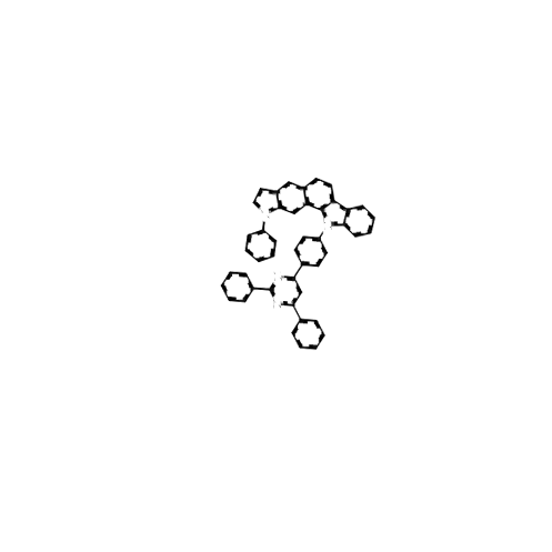 c1ccc(-c2cc(-c3ccc(-n4c5ccccc5c5ccc6cc7ccn(-c8ccccc8)c7cc6c54)cc3)nc(-c3ccccc3)n2)cc1